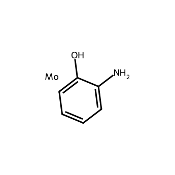 Nc1ccccc1O.[Mo]